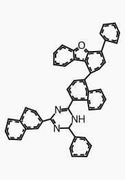 c1ccc(-c2ccc(-c3ccc(C4=NC(c5ccc6ccccc6c5)=NC(c5ccccc5)N4)c4ccccc34)c3c2oc2ccccc23)cc1